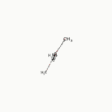 CCCCCCCCCCCCCCCCCCOC(=O)[C@@H](N)CCC(=O)OC(=O)CCCCCCCCCCCCCCCCC